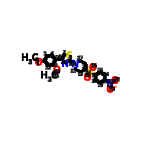 COc1ccc(-c2csc(N3CCC(S(=O)(=O)c4ccc([N+](=O)[O-])cc4)CC3)n2)c(OC)c1